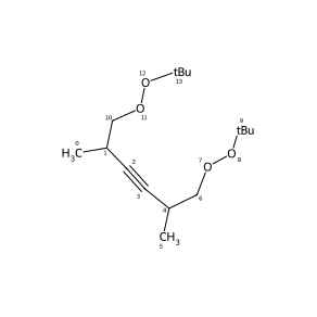 CC(C#CC(C)COOC(C)(C)C)COOC(C)(C)C